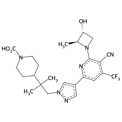 C[C@H]1[C@H](O)CN1c1nc(-c2cnn(CC(C)(C)C3CCN(C(=O)O)CC3)c2)cc(C(F)(F)F)c1C#N